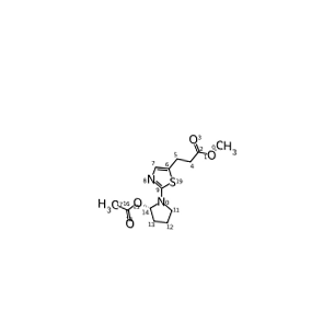 COC(=O)CCc1cnc(N2CCC[C@@H]2OC(C)=O)s1